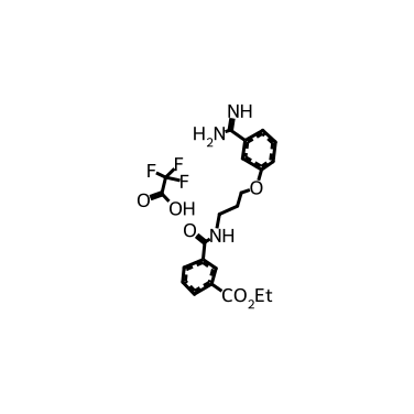 CCOC(=O)c1cccc(C(=O)NCCCOc2cccc(C(=N)N)c2)c1.O=C(O)C(F)(F)F